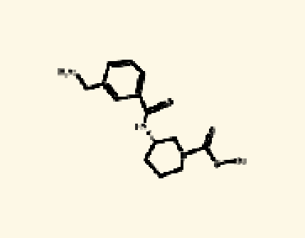 CC(C)(C)OC(=O)N1CCC[C@H](NC(=O)c2cccc(C[AsH2])c2)C1